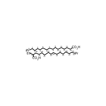 CC(C)CCCCCCCCCCCCCCC(=O)O.CCC(CCCCCCCCCCCCCC(C)C)C(=O)O